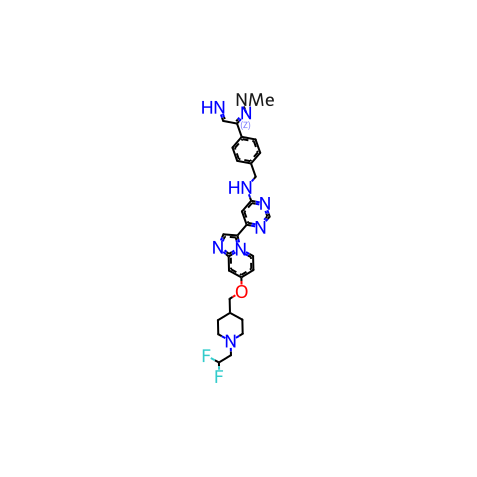 CN/N=C(\C=N)c1ccc(CNc2cc(-c3cnc4cc(OCC5CCN(CC(F)F)CC5)ccn34)ncn2)cc1